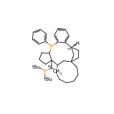 C[C@@H](P(C(C)(C)C)C(C)(C)C)C12CCCC1P(c1ccccc1)c1ccccc1[C@@H]1CCC3(CCCCCCC2C3)C1